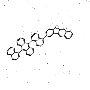 c1ccc2cc3c(cc2c1)oc1ccc(-c2cccc4c(-c5c6ccccc6c(-c6cccc7ccccc67)c6ccccc56)cccc24)cc13